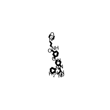 Nc1nonc1-c1nc2cnc(Oc3cccc(C(=O)NCCCN4CCOCC4)c3)cc2n1-c1ccccc1